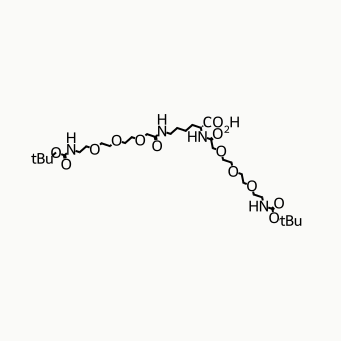 CC(C)(C)OC(=O)NCCOCCOCCOCC(=O)NCCCC[C@@H](NC(=O)COCCOCCOCCNC(=O)OC(C)(C)C)C(=O)O